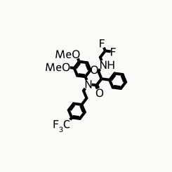 COc1ccc(N(CCc2ccc(C(F)(F)F)cc2)C(=O)C(C(=O)NCC(F)F)c2ccccc2)cc1OC